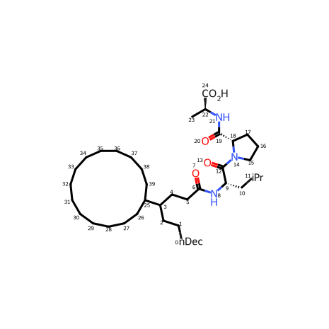 CCCCCCCCCCCCC(CCC(=O)N[C@@H](CC(C)C)C(=O)N1CCC[C@H]1C(=O)N[C@@H](C)C(=O)O)C1CCCCCCCCCCCCCC1